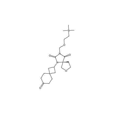 C[Si](C)(C)CCOCN1C(=O)N(C2CC3(CCC(=O)CC3)C2)[C@]2(CCOC2)C1=O